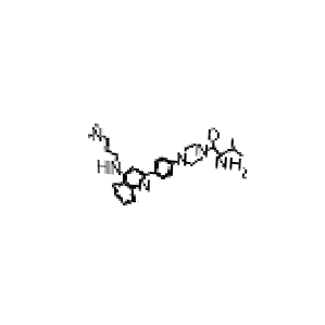 CC(C)C(N)C(=O)N1CCN(c2ccc(-c3cc(NCCCN(C)C)c4ccccc4n3)cc2)CC1